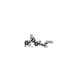 CCN(CCNC(=O)c1cccc(-c2cnc(N)c(OCc3cccc(F)c3C(F)(F)F)n2)c1)CCOC